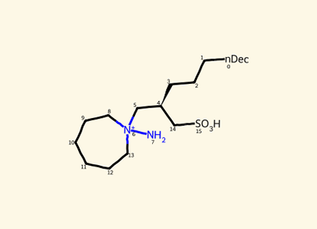 CCCCCCCCCCCCC[C@H](C[N+]1(N)CCCCCC1)CS(=O)(=O)O